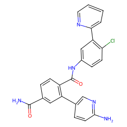 NC(=O)c1ccc(C(=O)Nc2ccc(Cl)c(-c3ccccn3)c2)c(-c2ccc(N)nc2)c1